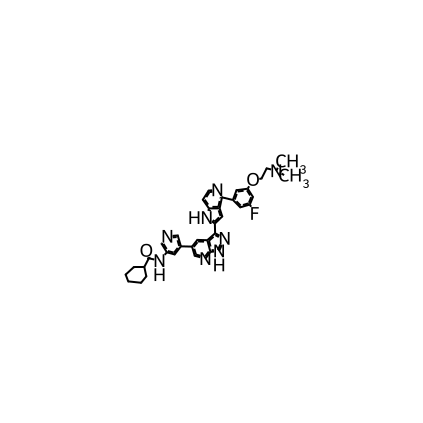 CN(C)CCOc1cc(F)cc(-c2nccc3[nH]c(-c4n[nH]c5ncc(-c6cncc(NC(=O)C7CCCCC7)c6)cc45)cc23)c1